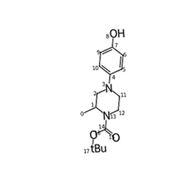 CC1CN(c2ccc(O)cc2)CCN1C(=O)OC(C)(C)C